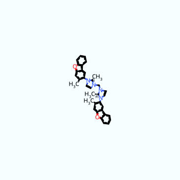 Cc1cc2oc3ccccc3c2cc1N1C=CN(CN2C=CN(c3cc4c(cc3C)oc3ccccc34)[C@H]2C)[C@H]1C